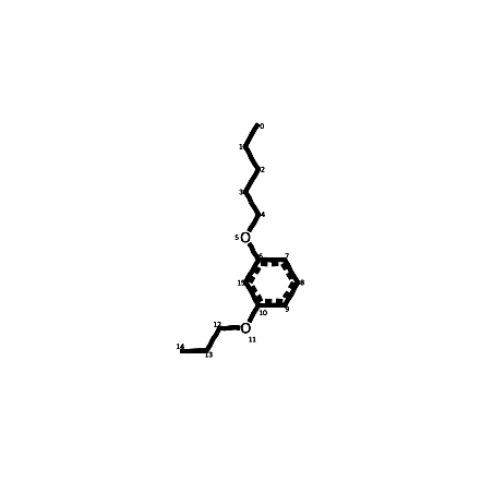 CCCCCOc1cccc(OCCC)c1